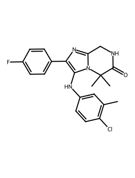 Cc1cc(Nc2c(-c3ccc(F)cc3)nc3n2C(C)(C)C(=O)NC3)ccc1Cl